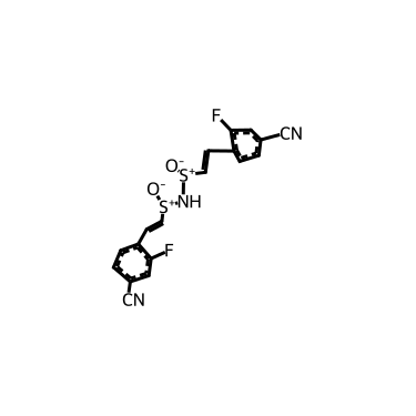 N#Cc1ccc(/C=C/[S+]([O-])N[S+]([O-])/C=C/c2ccc(C#N)cc2F)c(F)c1